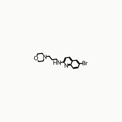 Brc1ccc2nc(NCCCN3CCOCC3)ccc2c1